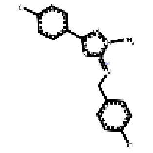 Cn1nc(-c2ccc(Cl)cc2)s/c1=N\Cc1ccc(Cl)cc1